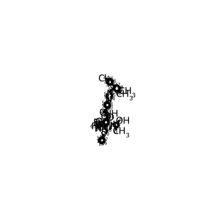 CC1CC(O)CN1CC[C@H](CSc1ccccc1)Nc1ccc(S(=O)(=O)NC(=O)c2ccc(N3CCN(CC4=C(c5ccc(Cl)cc5)CCC(C)(C)C4)CC3)cc2)cc1S(=O)(=O)C(F)(F)F